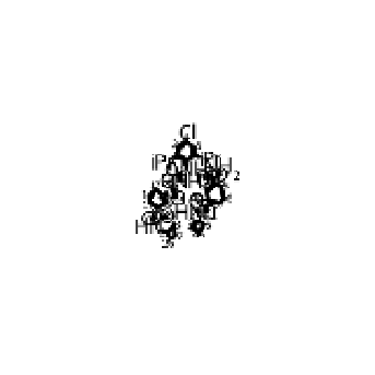 CC(C)c1cc(Cl)cc(C(C)C)c1NC(=O)NS(=O)(=O)c1cccc(S(=O)(=O)NC2CCC2)c1.NS(=O)(=O)c1cccc(S(=O)(=O)NC2CCC2)c1